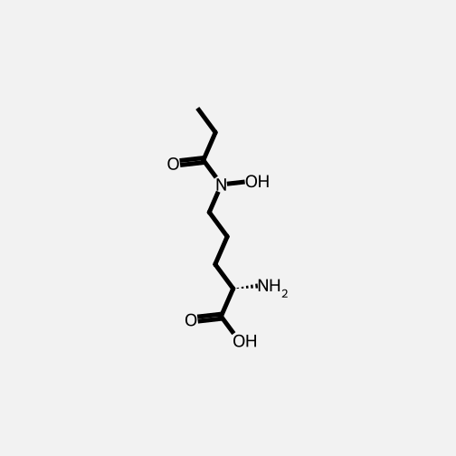 CCC(=O)N(O)CCC[C@H](N)C(=O)O